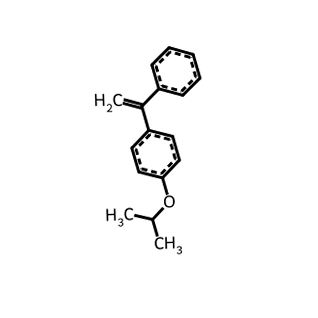 C=C(c1ccccc1)c1ccc(OC(C)C)cc1